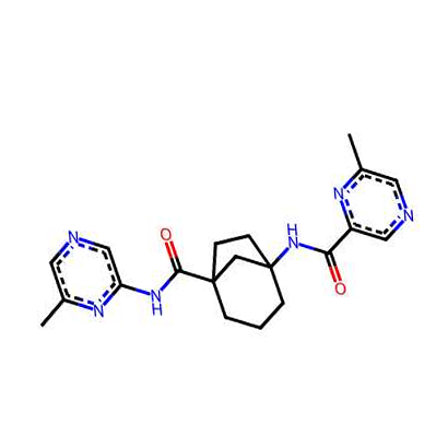 Cc1cncc(NC(=O)C23CCCC(NC(=O)c4cncc(C)n4)(CC2)C3)n1